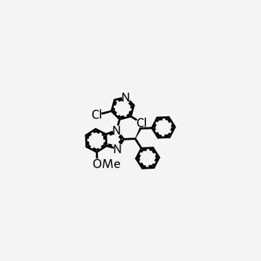 COc1cccc2c1nc([C@@H](Cc1ccccc1)c1ccccc1)n2-c1c(Cl)cncc1Cl